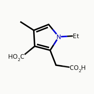 CCn1cc(C)c(C(=O)O)c1CC(=O)O